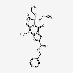 CCOC(OCC)([PH2]=O)n1c(=O)c2cc(C(=O)OCc3ccccc3)sc2n(C)c1=O